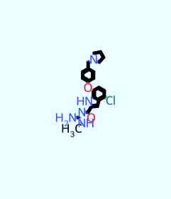 CNC(N)=NC(=O)c1cc2c(Cl)ccc(Oc3ccc(CN4CCCC4)cc3)c2[nH]1